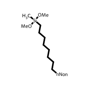 CCCCCCCCCCCCCCCCC[Si](C)(OC)OC